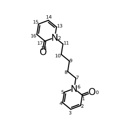 O=c1ccccn1CCCCCn1ccccc1=O